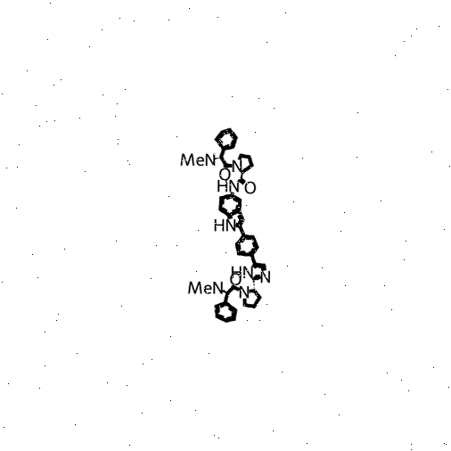 CN[C@@H](C(=O)N1CCC[C@H]1C(=O)Nc1ccc2[nH]c(-c3ccc(-c4cnc([C@@H]5CCCN5C(=O)[C@H](NC)c5ccccc5)[nH]4)cc3)cc2c1)c1ccccc1